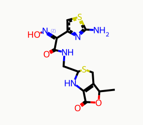 CC1OC(=O)C2=C1CSC(CNC(=O)/C(=N\O)c1csc(N)n1)N2